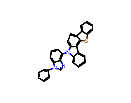 c1ccc(-n2cnc3c(-n4c5ccccc5c5c6sc7ccccc7c6ccc54)cccc32)cc1